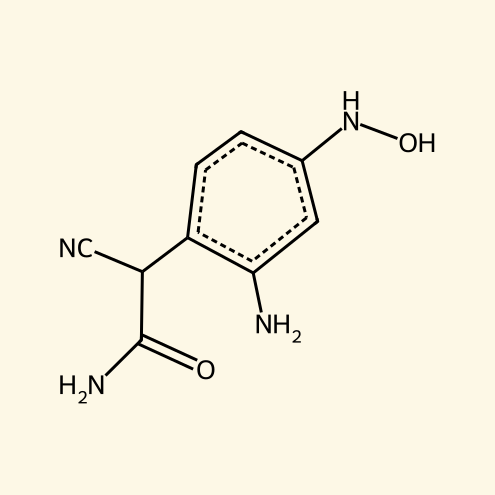 N#CC(C(N)=O)c1ccc(NO)cc1N